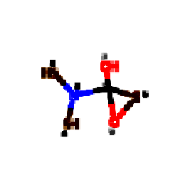 OC1(N(S)S)OS1